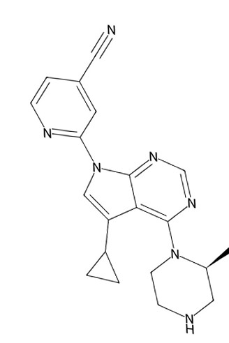 C[C@H]1CNCCN1c1ncnc2c1c(C1CC1)cn2-c1cc(C#N)ccn1